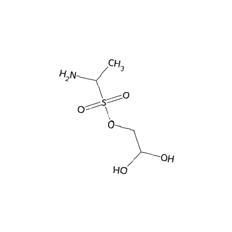 CC(N)S(=O)(=O)OCC(O)O